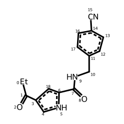 CCC(=O)c1c[nH]c(C(=O)NCc2ccc(C#N)cc2)c1